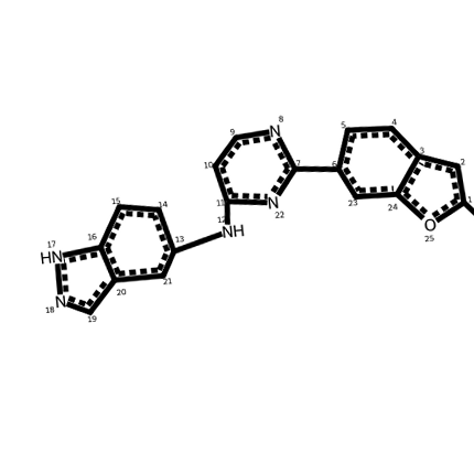 Cc1cc2ccc(-c3nccc(Nc4ccc5[nH]ncc5c4)n3)cc2o1